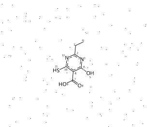 CCc1nc(O)c(C(=O)O)c(S)n1